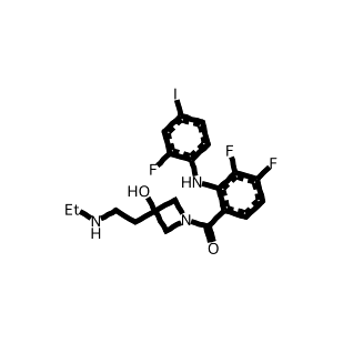 CCNCCC1(O)CN(C(=O)c2ccc(F)c(F)c2Nc2ccc(I)cc2F)C1